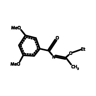 CCOC(C)=NC(=O)c1cc(OC)cc(OC)c1